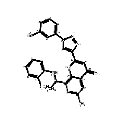 Cc1cc(C(C)Nc2ccccc2C(=O)O)c2oc(-c3cn(-c4cccc(O)c4)nn3)cc(=O)c2c1